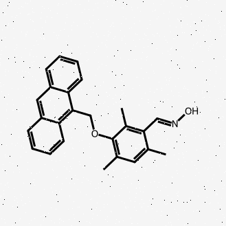 Cc1cc(C)c(OCc2c3ccccc3cc3ccccc23)c(C)c1C=NO